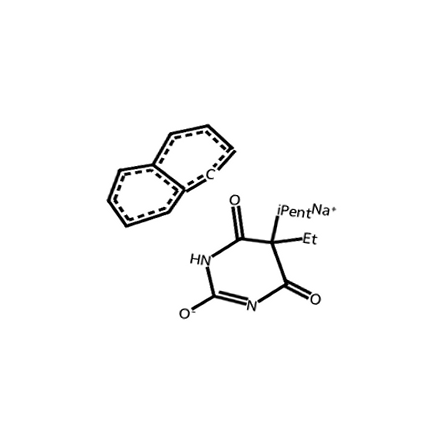 CCCC(C)C1(CC)C(=O)N=C([O-])NC1=O.[Na+].c1ccc2ccccc2c1